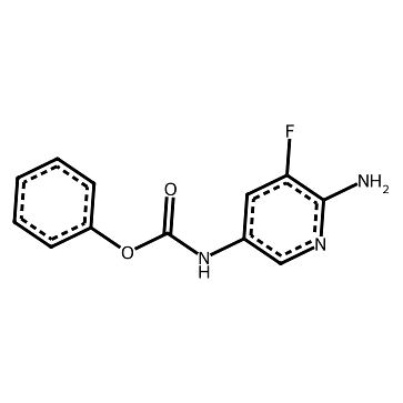 Nc1ncc(NC(=O)Oc2ccccc2)cc1F